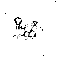 Cc1oc2ncnc(NC3(C)CC3)c2c1C(=O)Nc1ccccc1